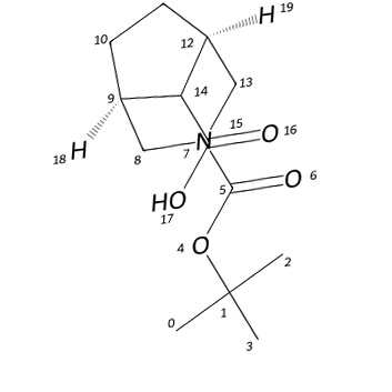 CC(C)(C)OC(=O)N1C[C@H]2CC[C@@H](C1)C2C(=O)O